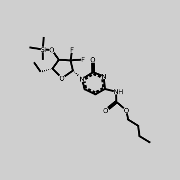 CCCCOC(=O)Nc1ccn([C@@H]2O[C@H](CC)C(O[Si](C)(C)C)C2(F)F)c(=O)n1